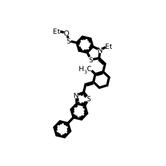 CCOSc1ccc2c(c1)S/C(=C\C1=C(C)C(=C/c3nc4cc(-c5ccccc5)ccc4s3)/CCC1)N2CC